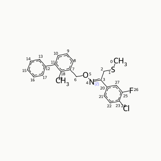 CSC/C(=N\OCc1cccc(-c2ccccc2)c1C)c1ccc(Cl)c(F)c1